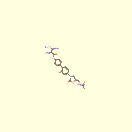 CC(=O)NCC1CN(c2ccc(-c3ccc(NC(=S)C(=N)C(=N)N)cc3)c(F)c2)C(=O)O1